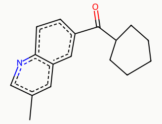 Cc1cnc2ccc(C(=O)C3CCCCC3)cc2c1